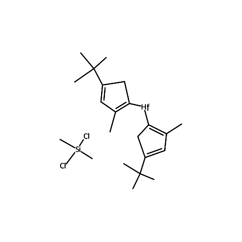 CC1=[C]([Hf][C]2=C(C)C=C(C(C)(C)C)C2)CC(C(C)(C)C)=C1.C[Si](C)(Cl)Cl